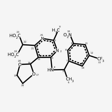 Cc1nc(NC(C)c2cc([N+](=O)[O-])cc(C(F)(F)F)c2)c(C2OCCO2)c(C(C(=O)O)C(=O)O)n1